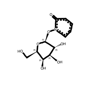 O=c1ccccn1O[C@@H]1O[C@H](CO)[C@H](O)[C@H](O)[C@H]1O